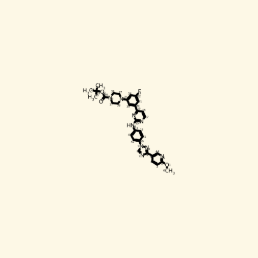 COc1ccc(-c2ncn(-c3ccc(Nc4nccc(-c5cc(F)cc(N6CCN(C(=O)OC(C)(C)C)CC6)c5)n4)cc3)n2)cn1